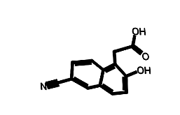 N#Cc1ccc2c(CC(=O)O)c(O)ccc2c1